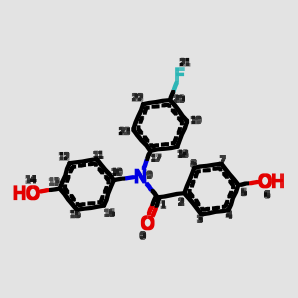 O=C(c1ccc(O)cc1)N(c1ccc(O)cc1)c1ccc(F)cc1